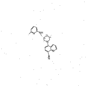 Cc1cccc(NC[C@H]2CN(c3ccc(C#N)c4ncccc34)C[C@@H](C)O2)n1